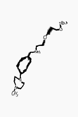 CCCCOCCOCCNCc1ccc(N2CCN(C)CC2)cc1